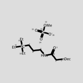 CCCCCCCCCCCC(=O)NCCC[N+](CC)(CC)CC.COS(=O)(=O)[O-]